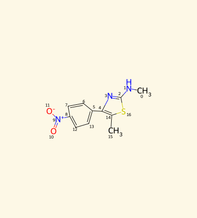 CNc1nc(-c2ccc([N+](=O)[O-])cc2)c(C)s1